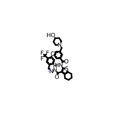 O=C(Nc1sc2c(c1C(=O)N/N=C\c1ccc(Cl)c(C(F)(F)F)c1)CCCC2)c1cccc(CN2CCC(O)CC2)c1